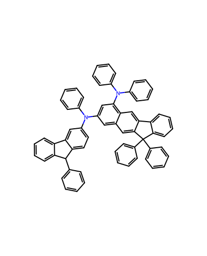 c1ccc(C2c3ccccc3-c3cc(N(c4ccccc4)c4cc(N(c5ccccc5)c5ccccc5)c5cc6c(cc5c4)C(c4ccccc4)(c4ccccc4)c4ccccc4-6)ccc32)cc1